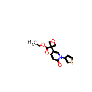 CCOC(=O)C1(c2ccc(=O)n(-c3ccsc3)c2)COC1